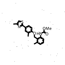 COC(=O)Nc1cccc(C)c1COc1ccc(-c2nc(C)cs2)cc1C